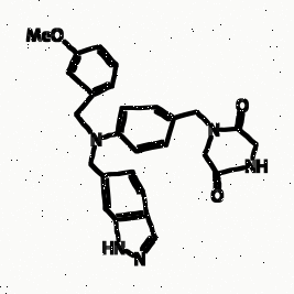 COc1cccc(CN(Cc2ccc3cn[nH]c3c2)c2ccc(CN3CC(=O)NCC3=O)cc2)c1